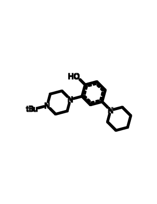 CC(C)(C)N1CCN(c2cc(N3CCCCC3)ccc2O)CC1